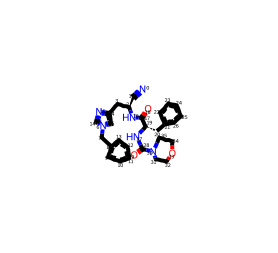 N#C[C@H](Cc1cn(Cc2ccccc2)cn1)NC(=O)[C@H](Cc1ccccc1)NC(=O)N1CCOCC1